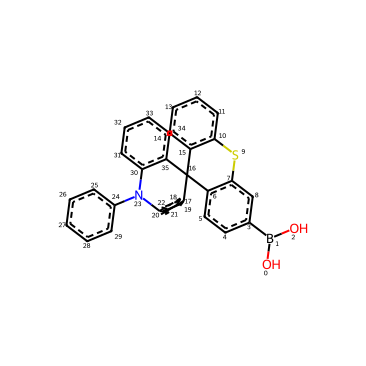 OB(O)c1ccc2c(c1)Sc1ccccc1C21c2ccccc2N(c2ccccc2)c2ccccc21